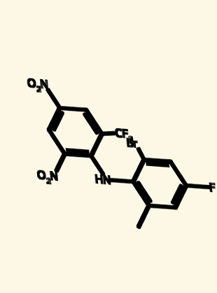 Cc1cc(F)cc(Br)c1Nc1c([N+](=O)[O-])cc([N+](=O)[O-])cc1C(F)(F)F